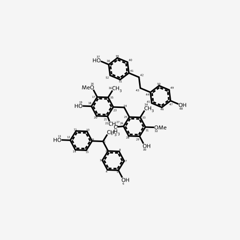 CC(c1ccc(O)cc1)c1ccc(O)cc1.COc1c(O)cc(C)c(Cc2c(C)cc(O)c(OC)c2C)c1C.Oc1ccc(CCc2ccc(O)cc2)cc1